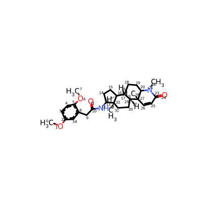 COc1ccc(OC)c(CC(=O)NC2CC[C@H]3[C@@H]4CCC5N(C)C(=O)C=C[C@]5(C)[C@@H]4CC[C@]23C)c1